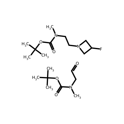 CN(CC=O)C(=O)OC(C)(C)C.CN(CCN1CC(F)C1)C(=O)OC(C)(C)C